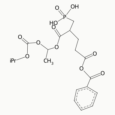 CC(C)OC(=O)OC(C)OC(=O)C(CCC(=O)OC(=O)c1ccccc1)CP(=O)(O)O